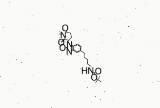 CN1C(=O)CCC(n2c(=O)n(C)c3cc(CCCCCNC(=O)OC(C)(C)C)ccc32)C1=O